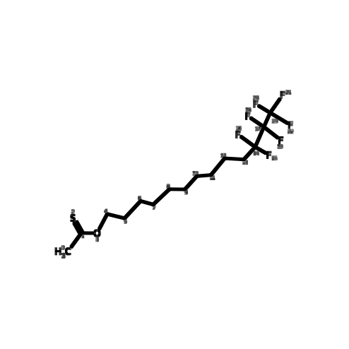 CC(=S)OCCCCCCCCCCC(F)(F)C(F)(F)C(F)(F)F